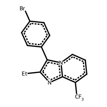 CCc1nc2c(C(F)(F)F)cccn2c1-c1ccc(Br)cc1